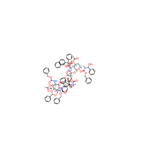 CC(=O)O[C@H]1[C@@H](NC(=O)OCc2ccccc2)[C@@H](O[C@H]2[C@H](O[C@@H]3O[C@H](CO[Si](c4ccccc4)(c4ccccc4)C(C)(C)C)[C@@H](O[C@H]4O[C@@H](CN(C(=O)OCc5ccccc5)C(O)c5ccccc5)C[C@H](OC(C)=O)[C@H]4NC(=O)OCc4ccccc4)[C@H]3CC(C)(C)[Si](O)(c3ccccc3)c3ccccc3)[C@H]3OC(=O)N[C@@H]3C[C@@H]2NC(=O)OCc2ccccc2)O[C@@H]2COC(c3ccccc3)O[C@@H]12